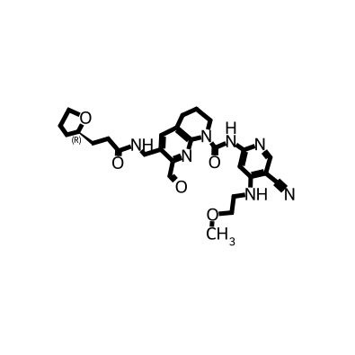 COCCNc1cc(NC(=O)N2CCCc3cc(CNC(=O)CC[C@H]4CCCO4)c(C=O)nc32)ncc1C#N